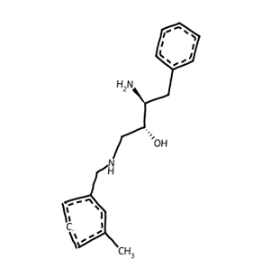 Cc1cccc(CNC[C@@H](O)[C@@H](N)Cc2ccccc2)c1